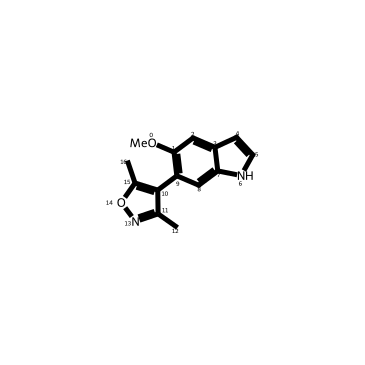 COc1cc2cc[nH]c2cc1-c1c(C)noc1C